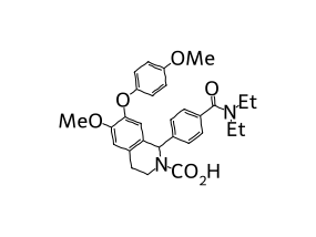 CCN(CC)C(=O)c1ccc(C2c3cc(Oc4ccc(OC)cc4)c(OC)cc3CCN2C(=O)O)cc1